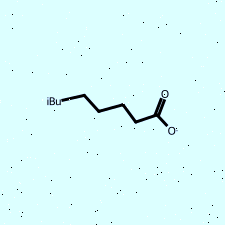 CCC(C)CCCCC([O])=O